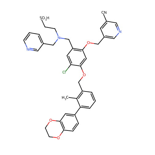 Cc1c(COc2cc(OCc3cncc(C#N)c3)c(CN(CCS(=O)(=O)O)Cc3cccnc3)cc2Cl)cccc1-c1ccc2c(c1)OCCO2